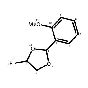 CCCC1COC(c2ccccc2OC)O1